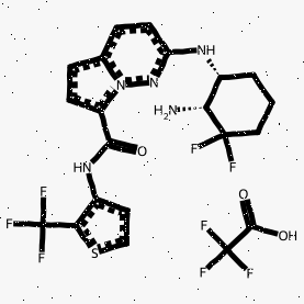 N[C@@H]1[C@H](Nc2ccc3ccc(C(=O)Nc4ccsc4C(F)(F)F)n3n2)CCCC1(F)F.O=C(O)C(F)(F)F